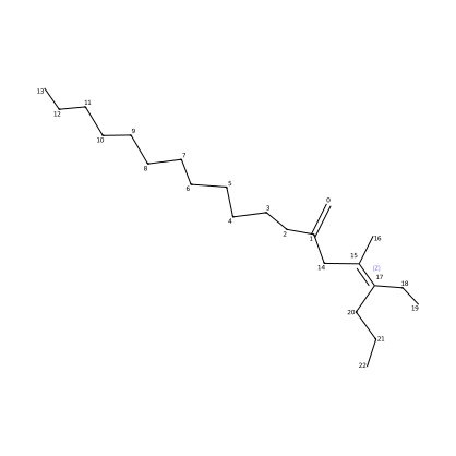 C=C(CCCCCCCCCCCC)C/C(C)=C(/CC)CCC